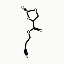 N#CCCOC(=O)C1COS(=O)O1